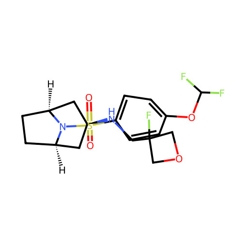 O=S(=O)(c1ccc(OC(F)F)cc1)N1[C@@H]2CC[C@H]1C[C@@H](NCC1(F)COC1)C2